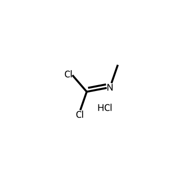 CN=C(Cl)Cl.Cl